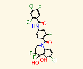 O=C(Nc1ccc(C(=O)N2CCC(F)(F)[C@](O)(CO)c3cc(Cl)ccc32)c(F)c1)c1cc(F)c(Cl)cc1Cl